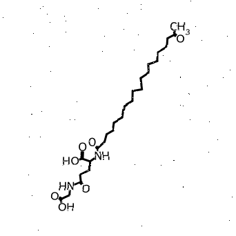 CC(=O)CCCCCCCCCCCCCCCCC(=O)NC(CCC(=O)NCC(=O)O)C(=O)O